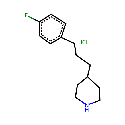 Cl.Fc1ccc(CCCC2CCNCC2)cc1